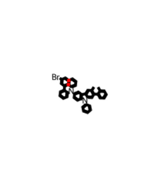 Cc1ccccc1-c1cc2c(cc1C)c1cc(N(c3ccccc3)c3ccccc3-c3cccc(Br)c3)ccc1n2-c1ccccc1